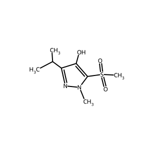 CC(C)c1nn(C)c(S(C)(=O)=O)c1O